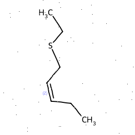 CC/C=C\CSCC